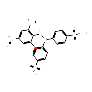 O=[N+]([O-])c1cc([N+](=O)[O-])c(NN(c2ccc(S(=O)(=O)O)cc2)c2ccc(S(=O)(=O)O)cc2)c([N+](=O)[O-])c1